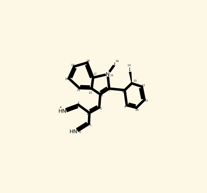 N=CC(C=N)=Cc1c(C2C=CC=C[C@@H]2I)n(I)c2ccccc12